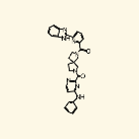 O=C(c1cccc(-c2nc3ccccc3[nH]2)n1)N1CCC2(CCN(C(=O)c3nccc(Nc4ccccc4)n3)C2)C1